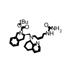 CC(C)(C)OC(=O)N1Cc2ccccc2C[C@@H]1CN(C/C=C\CNC(N)=O)[C@H]1CCCc2cccnc21